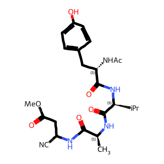 COC(=O)CC(C#N)NC(=O)[C@H](C)NC(=O)[C@@H](NC(=O)[C@H](Cc1ccc(O)cc1)NC(C)=O)C(C)C